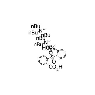 CCCC[N+](C)(CCCC)CCCC.CCCC[N+](C)(CCCC)CCCC.O=C(O)c1ccccc1S(=O)(=O)c1ccccc1C(=O)O